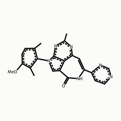 COc1ccc(C)c(-n2cc3c4c(nc(C)nc42)C=C(c2ccncn2)NC3=O)c1C